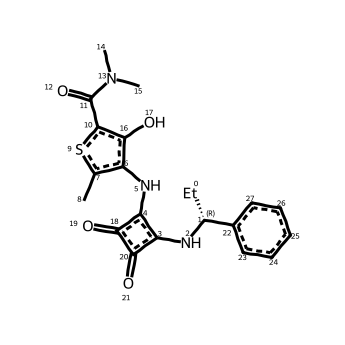 CC[C@@H](Nc1c(Nc2c(C)sc(C(=O)N(C)C)c2O)c(=O)c1=O)c1ccccc1